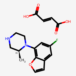 C[C@H]1CNCCN1c1cc(F)cc2ccoc12.O=C(O)C=CC(=O)O